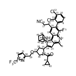 Cc1nc2c(F)c(-c3cccc(Cl)c3Cl)c(CCC#N)cc2c2c1cc(C1CC(OCc3ccn(C(F)(F)F)n3)CN1C(=O)C1CC1)n2C1C2CNC1C2